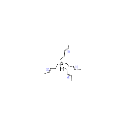 C/C=C/CC[PH](CC/C=C/C)(CC/C=C/C)CC/C=C/C